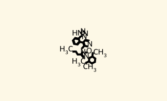 CCCCc1cn(C2C(CC)CCCC2C(C)C)c(=O)n1Cc1cnccc1-c1ccccc1-c1nnn[nH]1